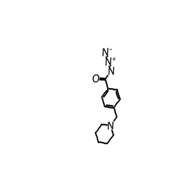 [N-]=[N+]=NC(=O)c1ccc(CN2CCCCC2)cc1